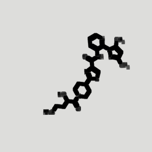 CSCCC(O)C(=O)N1CCC(c2nc(C(=O)Nc3cccnc3-n3nc(C)cc3C)cs2)CC1